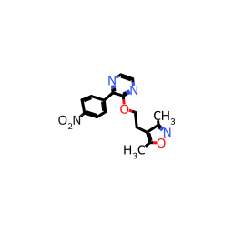 Cc1noc(C)c1CCOc1nccnc1-c1ccc([N+](=O)[O-])cc1